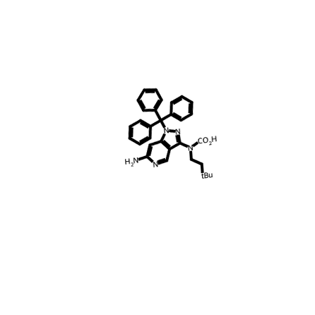 CC(C)(C)CCN(C(=O)O)c1nn(C(c2ccccc2)(c2ccccc2)c2ccccc2)c2cc(N)ncc12